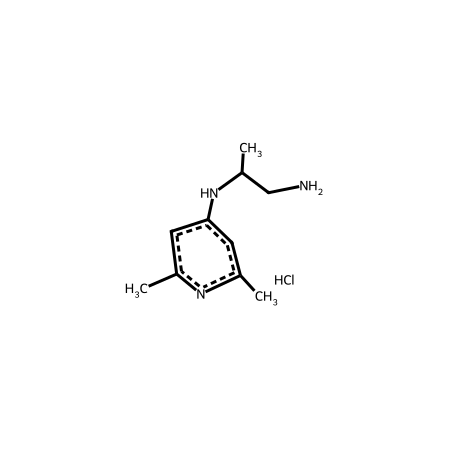 Cc1cc(NC(C)CN)cc(C)n1.Cl